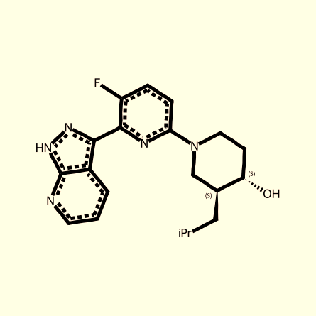 CC(C)C[C@H]1CN(c2ccc(F)c(-c3n[nH]c4ncccc34)n2)CC[C@@H]1O